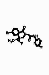 C[C@H]1[C@@H](F)[C@]12CN(CC(=O)Nc1ncc(F)cn1)C(=O)c1ccc(Br)cc12